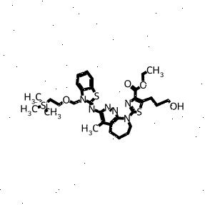 CCOC(=O)c1nc(N2CCCCc3c2nnc(/N=c2\sc4ccccc4n2COCC[Si](C)(C)C)c3C)sc1CCCO